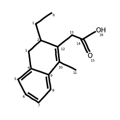 CCC1Cc2ccccc2C(C)=C1CC(=O)O